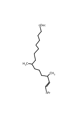 CCCC=CC(C)CCCC(C)CCCCCCCCCCCCCCCCC